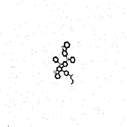 C/C=C\C=C(/C)c1ccc(-c2c3c(cc4c2c2ccc(N(c5ccccc5)c5ccc6sc7ccccc7c6c5)cc2n4-c2ccccc2)oc2ccccc23)cc1